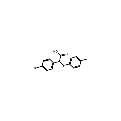 Cc1ccc(SC(C(=O)O)c2ccc(Br)cc2)cc1